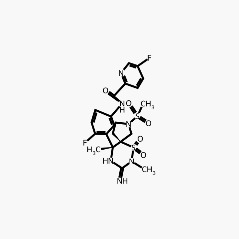 CN1C(=N)N[C@](C)(c2cc(NC(=O)c3ccc(F)cn3)ccc2F)[C@@]2(CCN(S(C)(=O)=O)C2)S1(=O)=O